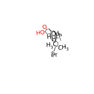 CC(C)CCC[C@@H](C)[C@H]1CC[C@H]2[C@@H]3C=CC4=CC(=O)[C@H](O)C[C@]4(C)[C@H]3CC[C@]12C